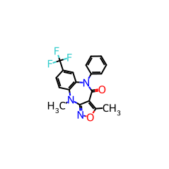 Cc1onc2c1C(=O)N(c1ccccc1)c1cc(C(F)(F)F)ccc1N2C